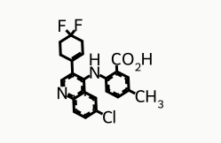 Cc1ccc(Nc2c(C3=CCC(F)(F)CC3)cnc3ccc(Cl)cc23)c(C(=O)O)c1